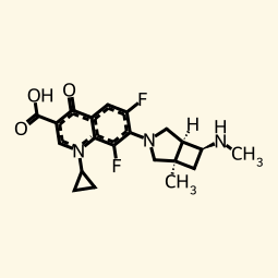 CN[C@H]1C[C@@]2(C)CN(c3c(F)cc4c(=O)c(C(=O)O)cn(C5CC5)c4c3F)C[C@@H]12